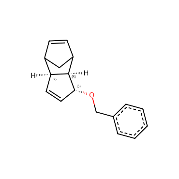 C1=CC2CC1[C@H]1[C@H](OCc3ccccc3)C=C[C@@H]21